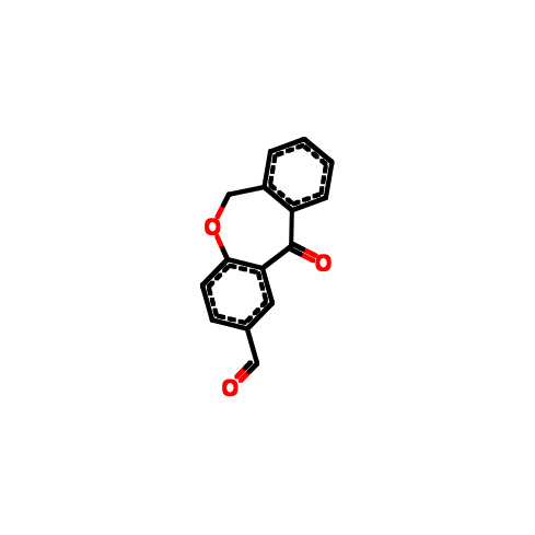 O=Cc1ccc2c(c1)C(=O)c1ccccc1CO2